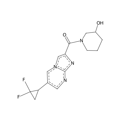 O=C(c1cn2cc(C3CC3(F)F)cnc2n1)N1CCCC(O)C1